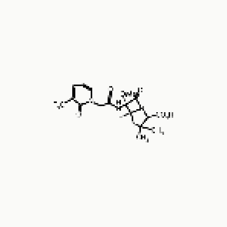 CO[C@]1(NC(=O)Cn2cccc(C(F)(F)F)c2=O)C(=O)N2[C@@H](C(=O)O)C(C)(C)S[C@@H]21